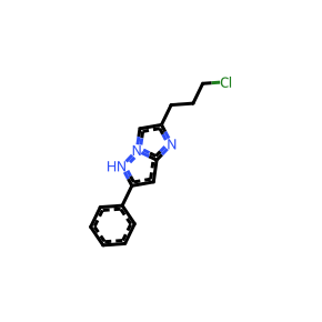 ClCCCc1cn2[nH]c(-c3ccccc3)cc2n1